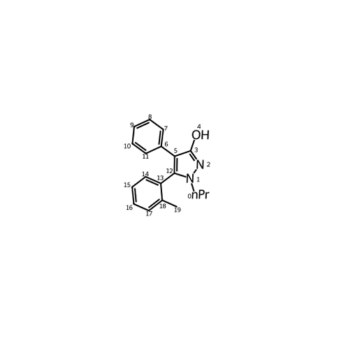 CCCn1nc(O)c(-c2ccccc2)c1-c1ccccc1C